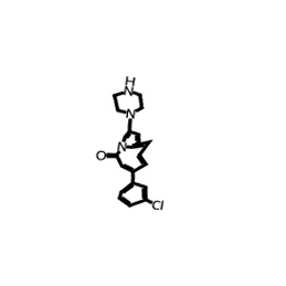 O=C1\C=C(c2cccc(Cl)c2)/C=C/C=C2\C=CC(N3CCNCC3)=CN12